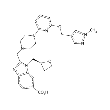 Cn1cc(COc2cccc(N3CCN(Cc4nc5ccc(C(=O)O)cc5n4C[C@@H]4CCO4)CC3)n2)cn1